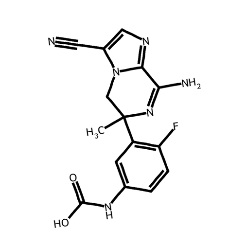 CC1(c2cc(NC(=O)O)ccc2F)Cn2c(C#N)cnc2C(N)=N1